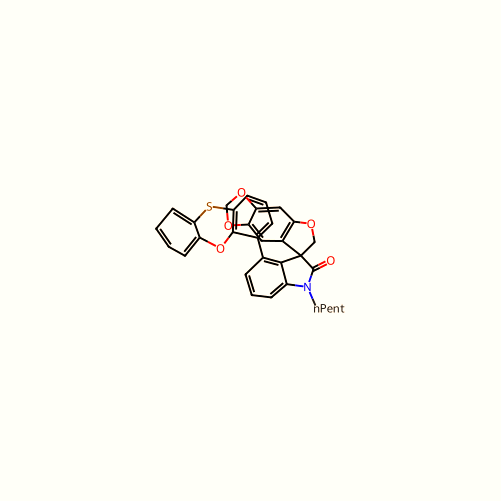 CCCCCN1C(=O)C2(COc3cc4c(cc32)OCO4)c2c(-c3cccc4c3Oc3ccccc3S4)cccc21